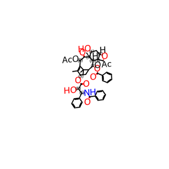 CC(=O)O[C@H]1C(=O)[C@@]2(C)[C@H]([C@H](OC(=O)c3ccccc3)C3C[C@H](OC(=O)[C@H](O)[C@@H](NC(=O)c4ccccc4)c4ccccc4)C(C)=C1C3(C)C)[C@]1(OC(C)=O)CO[C@@H]1C[C@@H]2O